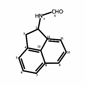 O=[C]NC1Cc2cccc3cccc1c23